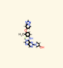 Cc1c(Oc2ccn3ncnc3c2)ccc(Nc2ncnc3cnc(N4CC[C@@H](O)C4)nc23)c1F